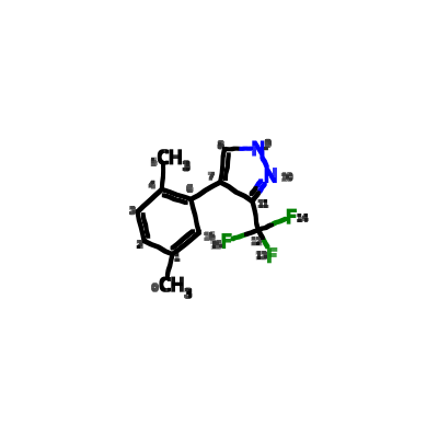 Cc1ccc(C)c(C2=C[N]N=C2C(F)(F)F)c1